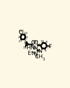 CCN(C)c1nc2cc(F)ccc2c(=O)n1NC(=O)C1C[C@@H]1c1ccc(Cl)cc1